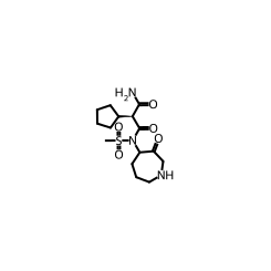 CS(=O)(=O)N(C(=O)[C@H](C(N)=O)C1CCCC1)C1CCCNCC1=O